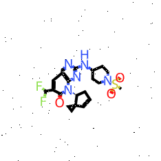 CS(=O)(=O)N1CCC(Nc2ncc3cc(C(F)F)c(=O)n([C@@H]4CC=CC45CC5)c3n2)CC1